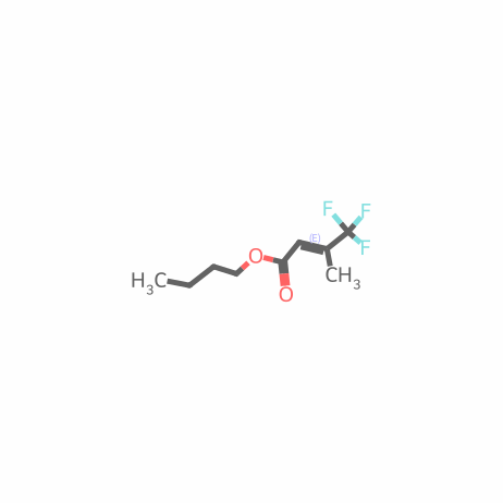 CCCCOC(=O)/C=C(\C)C(F)(F)F